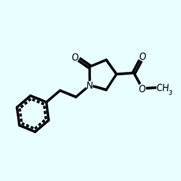 COC(=O)C1CC(=O)N(CCc2ccccc2)C1